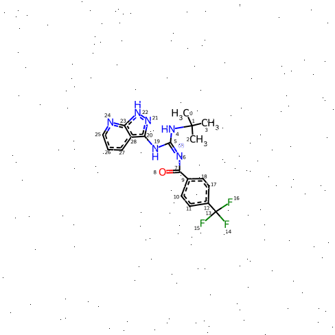 CC(C)(C)N/C(=N/C(=O)c1ccc(C(F)(F)F)cc1)Nc1n[nH]c2ncccc12